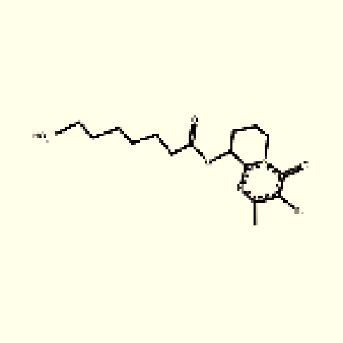 CCc1c(C)nc2n(c1=O)CCCC2OC(=O)CCCCCCC(=O)O